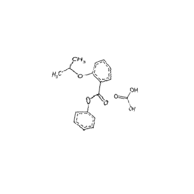 CC(C)Oc1ccccc1C(=O)Oc1ccccc1.O=C(O)O